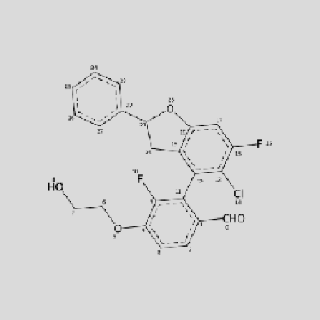 O=Cc1ccc(OCCO)c(F)c1-c1c(Cl)c(F)cc2c1CC(c1ccccc1)O2